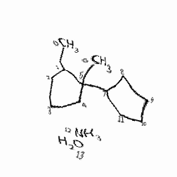 CC1CCCC1(C)C1CCCC1.N.O